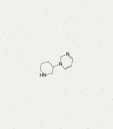 C1=CN(C2CCCNC2)CN=C1